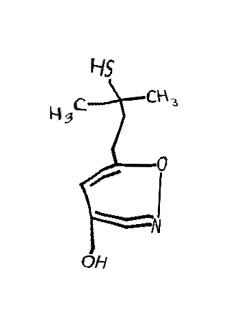 CC(C)(S)c1cc(O)no1